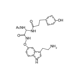 CC(=O)NC(NC(=O)CCc1ccc(O)cc1)C(=O)NOc1ccc2[nH]cc(CCN)c2c1